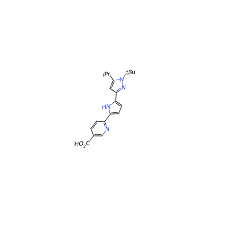 CC(C)c1cc(-c2ccc(-c3ccc(C(=O)O)cn3)[nH]2)nn1C(C)(C)C